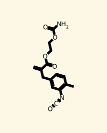 C=C(Cc1ccc(C)c(N=C=O)c1)C(=O)OCCOC(N)=O